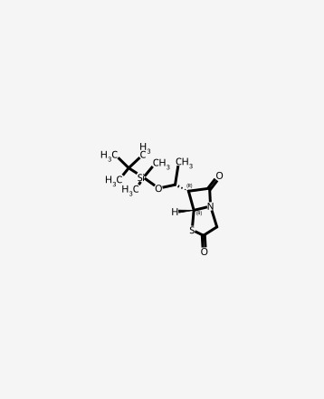 CC(O[Si](C)(C)C(C)(C)C)[C@@H]1C(=O)N2CC(=O)S[C@H]12